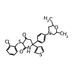 CC1CN(c2ccc(C3(c4ccsc4)CC(=O)C(Sc4ccccc4Cl)C(=O)N3)cc2)CC(C)O1